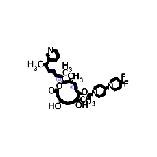 C/C(=C\C=C\C(C)c1cccnc1)[C@H]1OC(=O)C[C@@H](O)CC[C@](C)(O)C(OC(=O)N2CCC(N3CCC(F)(F)CC3)CC2)/C=C/[C@@H]1C